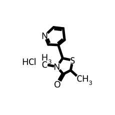 CC1SC(c2cccnc2)N(C)C1=O.Cl